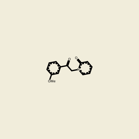 COc1cccc(C(=O)Cn2ccccc2=O)c1